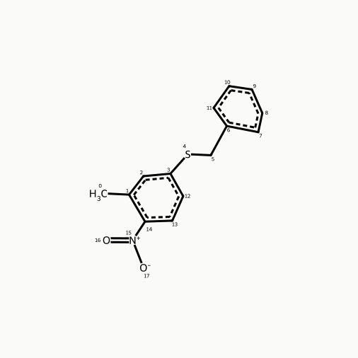 Cc1cc(SCc2ccccc2)ccc1[N+](=O)[O-]